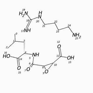 CC(C)C[C@H](NC(=O)C1OC1C(=O)O)C(=O)O.N=C(N)NCCCCN